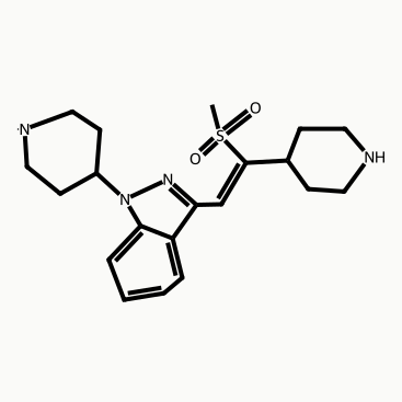 CS(=O)(=O)C(=Cc1nn(C2CC[N]CC2)c2ccccc12)C1CCNCC1